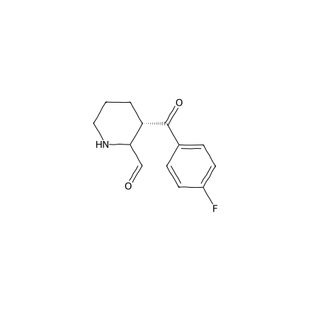 O=CC1NCCC[C@@H]1C(=O)c1ccc(F)cc1